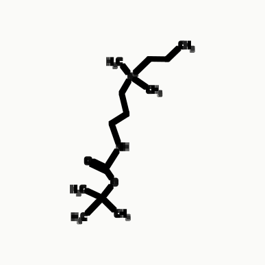 CCC[N+](C)(C)CCCNC(=O)OC(C)(C)C